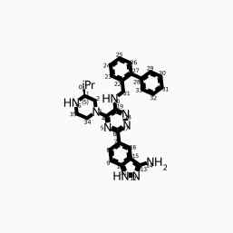 CC(C)[C@H]1CN(c2nc(-c3ccc4[nH]nc(N)c4c3)nnc2NCc2ccccc2-c2ccccc2)CCN1